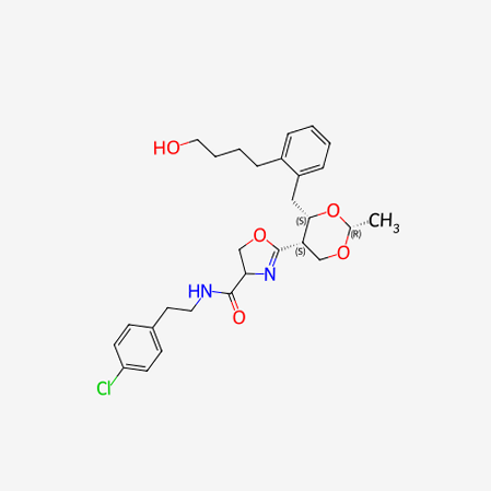 C[C@@H]1OC[C@H](C2=NC(C(=O)NCCc3ccc(Cl)cc3)CO2)[C@H](Cc2ccccc2CCCCO)O1